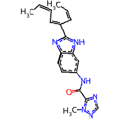 C\C=C/C=C(\C=C/C)c1nc2ccc(NC(=O)c3ncnn3C)cc2[nH]1